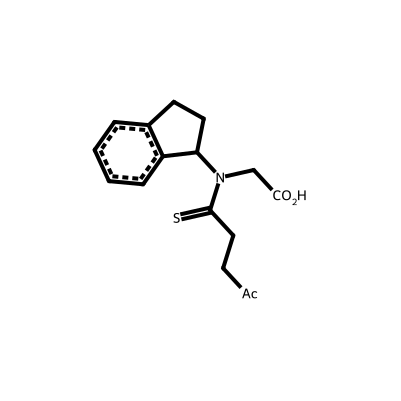 CC(=O)CCC(=S)N(CC(=O)O)C1CCc2ccccc21